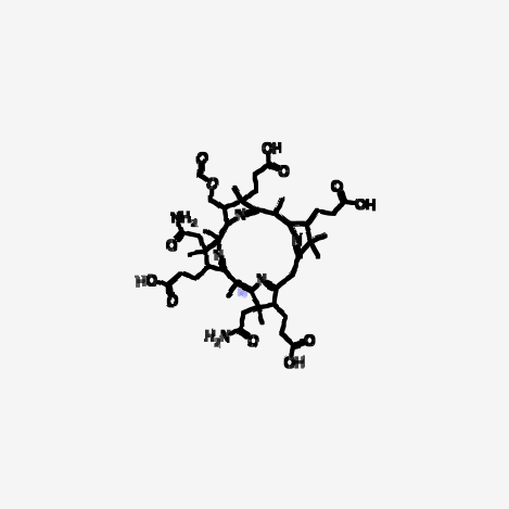 C/C1=C2/N=C(CC3=NC(C(C)C4=NC(C(COC=O)C4(C)CCC(=O)O)C4(C)N=C1C(CCC(=O)O)C4(C)CC(N)=O)C(CCC(=O)O)C3(C)C)C(CCC(=O)O)C2(C)CC(N)=O